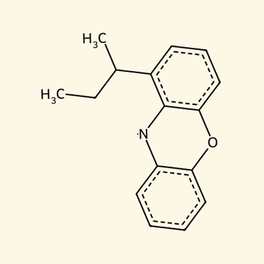 CCC(C)c1cccc2c1[N]c1ccccc1O2